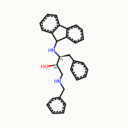 O[C@H](CNCc1ccccc1)[C@H](Cc1ccccc1)NC1c2ccccc2-c2ccccc21